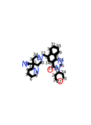 N#CC1(c2ccccn2)CCN(Cc2cc3c(=O)n(C4CCOCC4)cnc3c3ccccc23)CC1